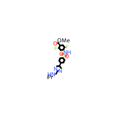 COC(=O)c1cc(F)c(NS(=O)(=O)c2ccc(-c3cnc(CNC(C)C)nc3)cc2)cc1F